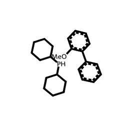 C1CCC(PC2CCCCC2)CC1.COc1ccccc1-c1ccccc1